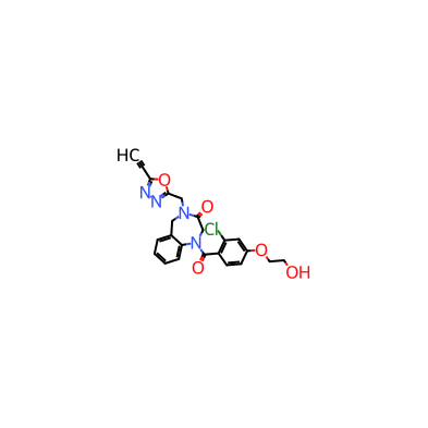 C#Cc1nnc(CN2Cc3ccccc3N(C(=O)c3ccc(OCCO)cc3Cl)CC2=O)o1